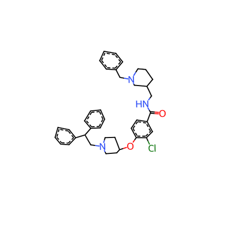 O=C(NCC1CCCN(Cc2ccccc2)C1)c1ccc(OC2CCN(CC(c3ccccc3)c3ccccc3)CC2)c(Cl)c1